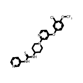 FC(F)(F)Oc1ccc(Oc2ccnc(N3CCC(NC(=S)Nc4cccnc4)CC3)c2)cc1Cl